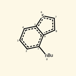 CCCCc1cccc2sccc12